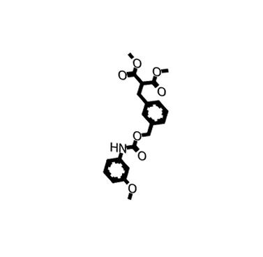 COC(=O)C(Cc1cccc(COC(=O)Nc2cccc(OC)c2)c1)C(=O)OC